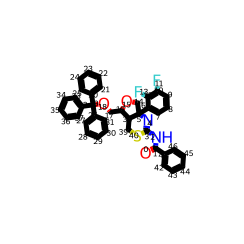 O=C(NC1=NC2(c3cccc(F)c3F)COC(COC(c3ccccc3)(c3ccccc3)c3ccccc3)C2CS1)c1ccccc1